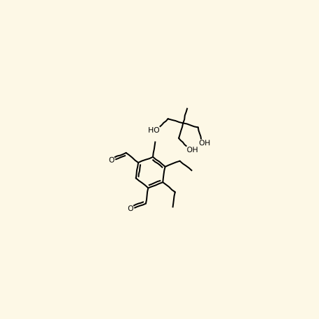 CC(CO)(CO)CO.CCc1c(C=O)cc(C=O)c(C)c1CC